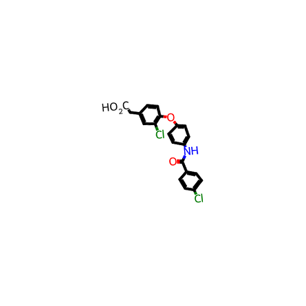 O=C(O)Cc1ccc(Oc2ccc(NC(=O)c3ccc(Cl)cc3)cc2)c(Cl)c1